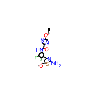 C#CCOc1cnc(C(=O)Nc2cc(F)c(F)c([C@]3(C)C[C@](C)(COC)SC(N)=N3)c2)cn1